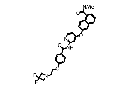 CNC(=O)c1cccc2cc(Oc3ccnc(NC(=O)c4ccc(OCCN5CC(F)(F)C5)cc4)c3)ccc12